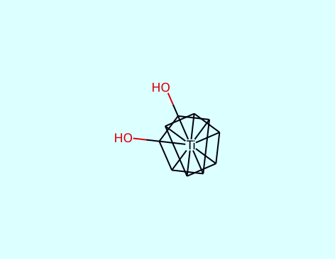 O[C]12[CH]3[CH]4[CH]5[C]1(O)[Ti]43521678[CH]2[CH]1[CH]6[CH]7[CH]28